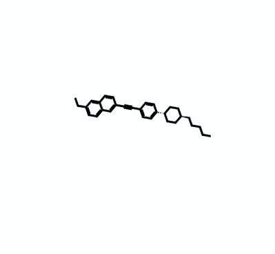 CCCCC[C@H]1CC[C@H](c2ccc(C#Cc3ccc4cc(CC)ccc4c3)cc2)CC1